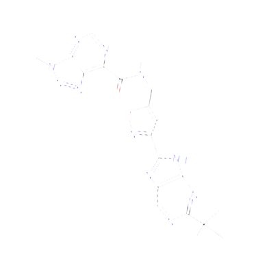 C[C@@H](NC(=O)c1ncnc2c1nnn2C)c1cc(-c2nc3cnc(C(C)(C)C)nc3[nH]2)no1